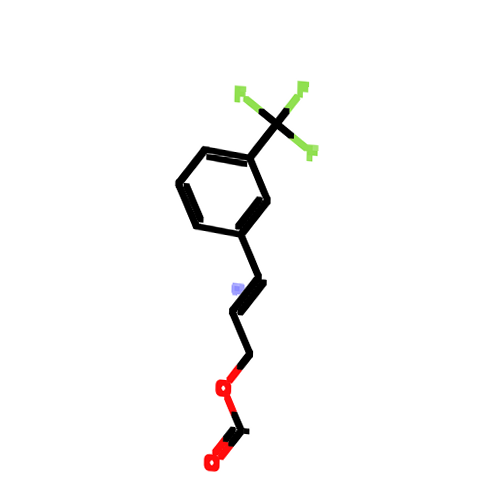 O=[C]OC/C=C/c1cccc(C(F)(F)F)c1